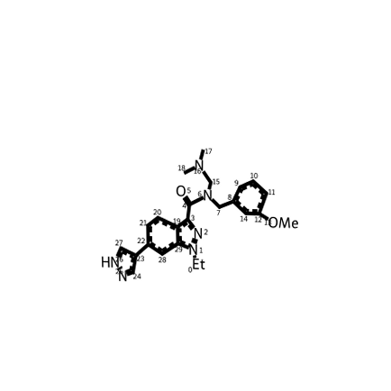 CCn1nc(C(=O)N(Cc2cccc(OC)c2)CN(C)C)c2ccc(-c3cn[nH]c3)cc21